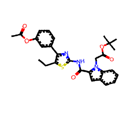 CCc1sc(NC(=O)c2cc3ccccc3n2CC(=O)OC(C)(C)C)nc1-c1cccc(OC(C)=O)c1